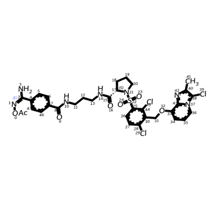 CC(=O)O/N=C(/N)c1ccc(C(=O)NCCCNC(=O)[C@@H]2CCCN2S(=O)(=O)c2ccc(Cl)c(COc3cccn4c(Cl)c(C)nc34)c2Cl)cc1